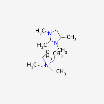 CC1CN(C)C(C)N1C.CC[N+](CC)(CC)CC